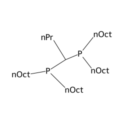 CCCCCCCCP(CCCCCCCC)C(CCC)P(CCCCCCCC)CCCCCCCC